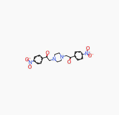 O=C(CN1CCN(CC(=O)c2ccc([N+](=O)[O-])cc2)CC1)c1ccc([N+](=O)[O-])cc1